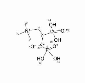 C[N+](C)(C)CC([S+]([O-])P(=O)(O)O)P(=O)(O)O